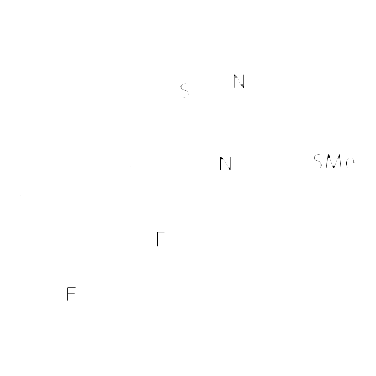 CSc1nsc(-c2cccc(F)c2F)n1